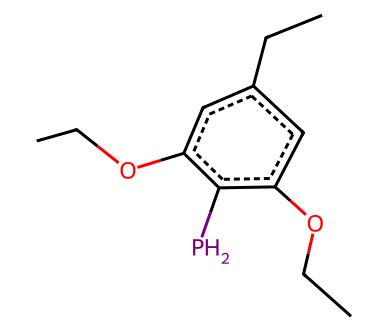 CCOc1cc(CC)cc(OCC)c1P